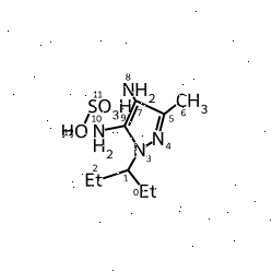 CCC(CC)n1nc(C)c(N)c1N.O=S(=O)(O)O